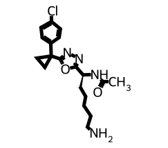 CC(=O)N[C@@H](CCCCCN)c1nnc(C2(c3ccc(Cl)cc3)CC2)o1